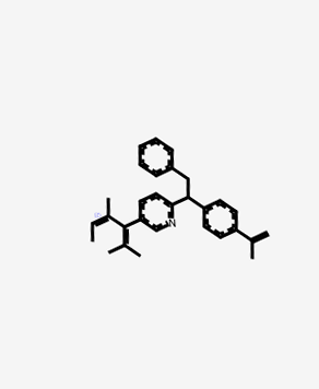 C=C(C)c1ccc(C(Cc2ccccc2)c2ccc(C(=C(C)C)/C(C)=C\C)cn2)cc1